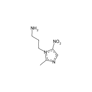 Cc1ncc([N+](=O)[O-])n1CCCN